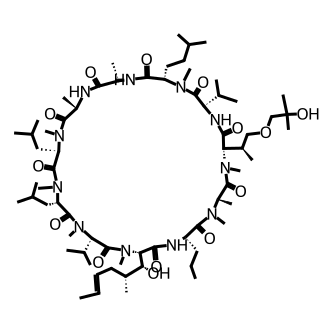 C/C=C/C[C@@H](C)[C@@H](O)[C@H]1C(=O)N[C@@H](CCC)C(=O)N(C)[C@H](C)C(=O)N(C)[C@@H]([C@H](C)COCC(C)(C)O)C(=O)N[C@@H](C(C)C)C(=O)N(C)[C@@H](CCC(C)C)C(=O)N[C@@H](C)C(=O)N[C@H](C)C(=O)N(C)[C@@H](CC(C)C)C(=O)N(C)[C@@H](CC(C)C)C(=O)N(C)[C@@H](C(C)C)C(=O)N1C